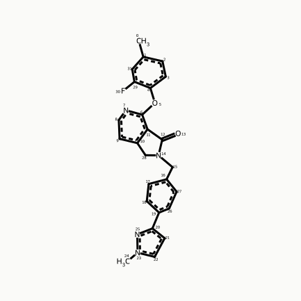 Cc1ccc(Oc2nccc3c2C(=O)N(Cc2ccc(-c4ccn(C)n4)cc2)C3)c(F)c1